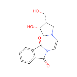 O=C1c2ccccc2C(=O)N1/C=C\N1C[C@@H](CO)[C@@H](O)C1